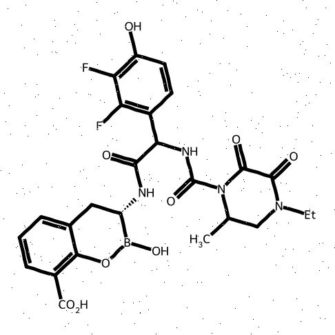 CCN1CC(C)N(C(=O)NC(C(=O)N[C@H]2Cc3cccc(C(=O)O)c3OB2O)c2ccc(O)c(F)c2F)C(=O)C1=O